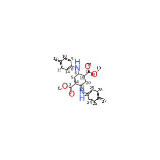 COC(=O)C1=CC(Nc2ccc(C)cc2)C(C(=O)OC)CC1Nc1ccc(C)cc1